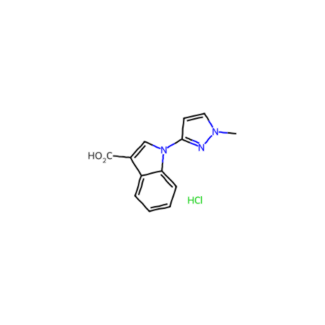 Cl.Cn1ccc(-n2cc(C(=O)O)c3ccccc32)n1